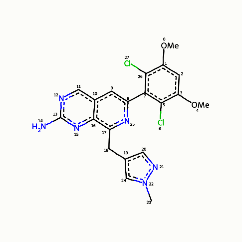 COc1cc(OC)c(Cl)c(-c2cc3cnc(N)nc3c(Cc3cnn(C)c3)n2)c1Cl